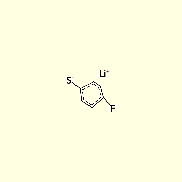 Fc1ccc([S-])cc1.[Li+]